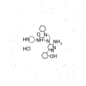 Cl.Nc1nnc(-c2ccccc2O)cc1N1CCN(c2ccccc2)C(C(=O)NC2CCNCC2)C1